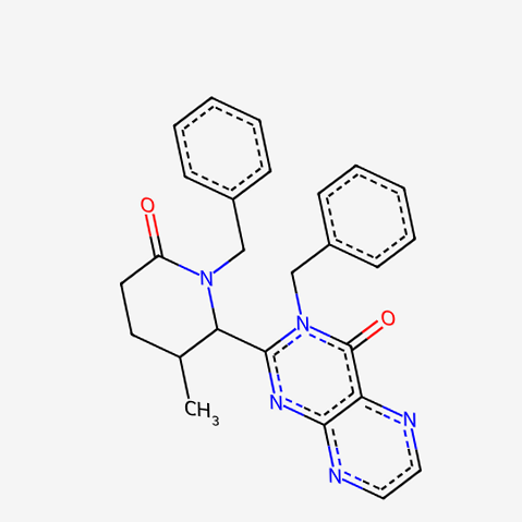 CC1CCC(=O)N(Cc2ccccc2)C1c1nc2nccnc2c(=O)n1Cc1ccccc1